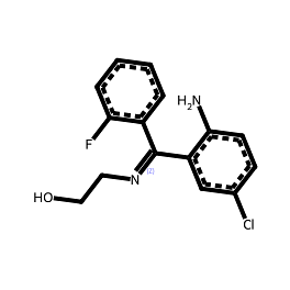 Nc1ccc(Cl)cc1/C(=N/CCO)c1ccccc1F